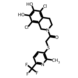 Cc1nc(C(F)(F)F)ccc1SCC(=O)N1CCc2c(Cl)c(O)c(O)c(Cl)c2C1